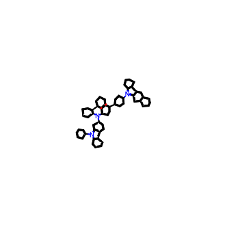 c1ccc(-c2ccccc2N(c2ccc(-c3ccc(-n4c5ccccc5c5cc6ccccc6cc54)cc3)cc2)c2ccc3c4ccccc4n(-c4ccccc4)c3c2)cc1